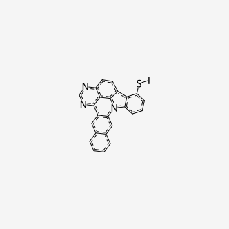 ISc1cccc2c1c1ccc3ncnc4c5cc6ccccc6cc5n2c1c34